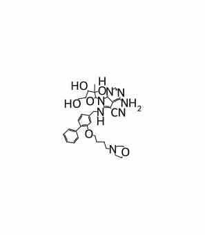 CC1(O)C(O)C(CO)OC1n1c(NCc2ccc(-c3ccccc3)c(OCCCCN3CCOCC3)c2)c(C#N)c2c(N)ncnc21